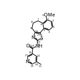 COc1cccc2c1CCCc1nc(NC(=O)c3cncc(C)c3)sc1-2